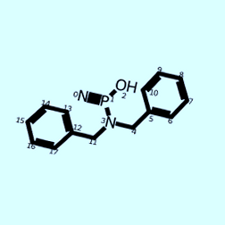 N#P(O)N(Cc1ccccc1)Cc1ccccc1